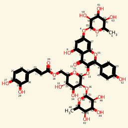 CC1O[C@@H](Oc2cc(O)c3c(=O)c(O[C@@H]4OC(COC(=O)/C=C/c5ccc(O)c(O)c5)[C@@H](O)C(O)[C@@H]4O[C@@H]4OC(C)[C@H](O)C(O)[C@@H]4O)c(-c4ccc(O)cc4)oc3c2)[C@@H](O)C(O)[C@H]1O